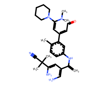 C=C(Nc1ccc(C)c(C(=C/C=O)/C=C(\N(C)C)N2CCCCC2)c1)C(/C=C(\N)C(C)(C)C#N)=C/N